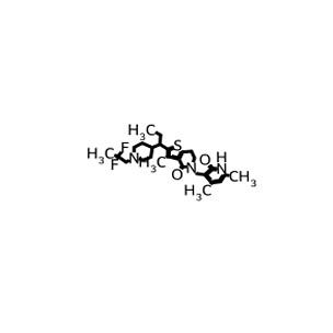 CCC(c1sc2c(c1C)C(=O)N(Cc1c(C)cc(C)[nH]c1=O)CC2)C1CCN(CC(C)(F)F)CC1